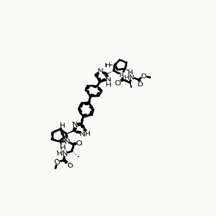 COC(=O)N[C@@H](C)C(=O)N1[C@@H]2CC[C@@H](C2)[C@H]1c1nc(-c2ccc(-c3ccc(-c4cnc([C@@H]5[C@H]6CC[C@H](C6)N5C(=O)[C@H](C)NC(=O)OC)[nH]4)cc3)cc2)c[nH]1